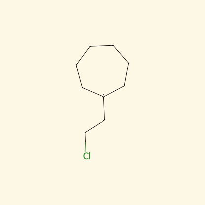 ClCC[C]1CCCCCC1